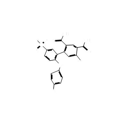 Cc1cc(-c2cc(S(C)(=O)=O)ccc2Oc2ccc(Cl)cc2)c(C(=O)O)cc1C(=O)O